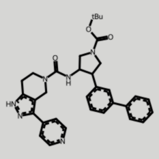 CC(C)(C)OC(=O)N1CC(NC(=O)N2CCc3[nH]nc(-c4ccncc4)c3C2)C(c2cccc(-c3ccccc3)c2)C1